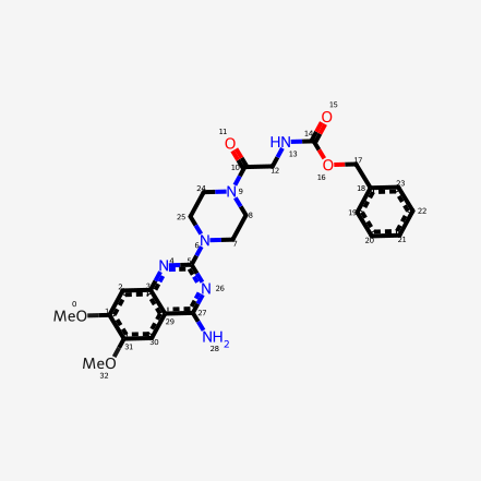 COc1cc2nc(N3CCN(C(=O)CNC(=O)OCc4ccccc4)CC3)nc(N)c2cc1OC